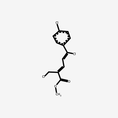 COC(=O)C(=CC=C(Cl)c1ccc(Cl)cc1)CCl